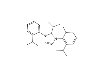 CC(C)C1=C(N2C=CN(c3ccccc3C(C)C)C2C(C)C)C(C)CC=C1